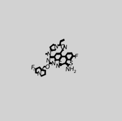 C=CC(=O)N1CC[C@@H](N(C)c2nc(OC[C@@]34CCCN3C[C@H](F)C4)nc3c(F)c(-c4ccc(F)c5sc(N)c(C#N)c45)c(C#N)cc23)C1